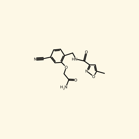 Cc1cc(C(=O)NCc2ccc(C#N)cc2OCC(N)=O)no1